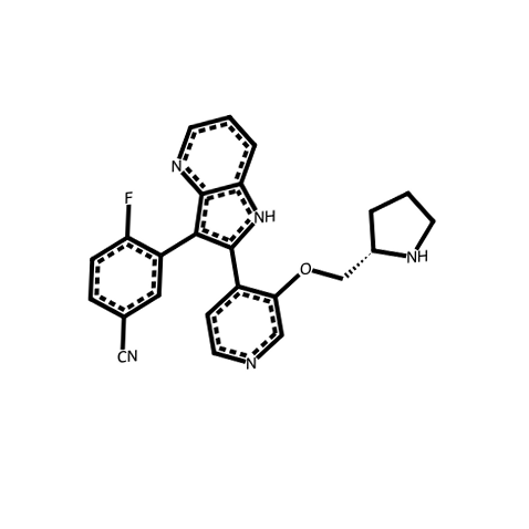 N#Cc1ccc(F)c(-c2c(-c3ccncc3OC[C@@H]3CCCN3)[nH]c3cccnc23)c1